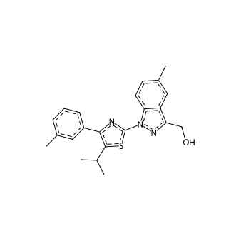 Cc1cccc(-c2nc(-n3nc(CO)c4cc(C)ccc43)sc2C(C)C)c1